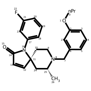 CCCOc1cccc(CN2CC[C@@]3(C=CC(=O)N3c3cccc(F)c3)C[C@H]2C)c1